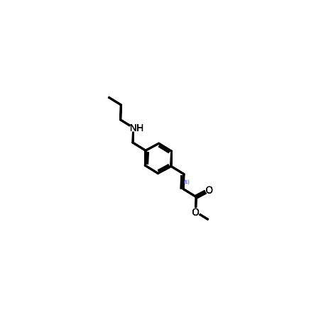 CCCNCc1ccc(/C=C/C(=O)OC)cc1